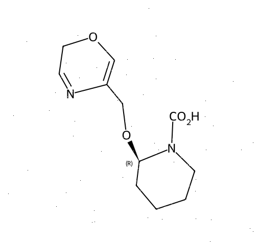 O=C(O)N1CCCC[C@H]1OCC1=COCC=N1